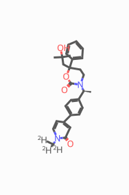 [2H]C([2H])([2H])n1ccc(-c2ccc([C@H](C)N3CCC(CC(C)(C)O)(c4ccccc4)OC3=O)cc2)cc1=O